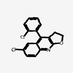 Clc1ccc2nc3c(c(-c4ccccc4Cl)c2c1)CCO3